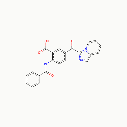 O=C(Nc1ccc(C(=O)c2ncc3ccccn23)cc1C(=O)O)c1ccccc1